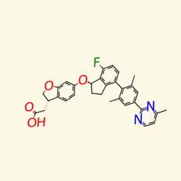 Cc1ccnc(-c2cc(C)c(-c3ccc(F)c4c3CC[C@H]4Oc3ccc4c(c3)OC[C@H]4CC(=O)O)c(C)c2)n1